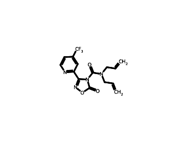 C=CCN(CC=C)C(=O)n1c(-c2cc(C(F)(F)F)ccn2)noc1=O